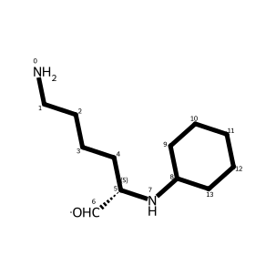 NCCCC[C@@H]([C]=O)NC1CCCCC1